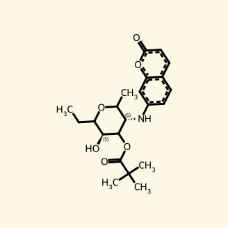 CCC1OC(C)[C@H](Nc2ccc3ccc(=O)oc3c2)C(OC(=O)C(C)(C)C)[C@H]1O